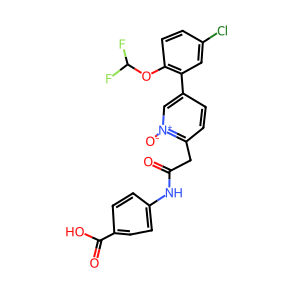 O=C(Cc1ccc(-c2cc(Cl)ccc2OC(F)F)c[n+]1[O-])Nc1ccc(C(=O)O)cc1